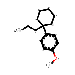 CNCCC1(c2ccc(OC(F)(F)F)cc2)CCCCC1